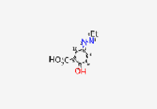 CCN=Nc1ccc(O)c(C(=O)O)c1